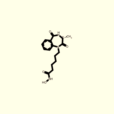 C[C@H]1NC(=O)c2ccccc2N(CCCCCC(=O)NO)C1=O